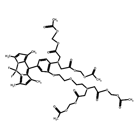 CC(=O)OCOC(=O)CN(CCOCCOc1cc(C2=C3C(C)=CC(C)=[N+]3[B-](F)(F)n3c(C)cc(C)c32)ccc1N(CC(=O)OCOC(C)=O)CC(=O)OCOC(C)=O)CC(=O)OCOC(C)=O